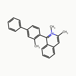 Cc1cc(-c2ccccc2)ccc1-c1c2ccccc2cc(C)[n+]1C